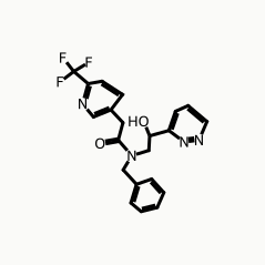 O=C(Cc1ccc(C(F)(F)F)nc1)N(Cc1ccccc1)CC(O)c1cccnn1